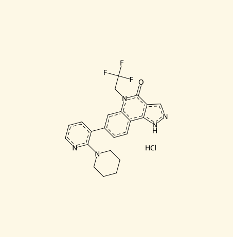 Cl.O=c1c2cn[nH]c2c2ccc(-c3cccnc3N3CCCCC3)cc2n1CC(F)(F)F